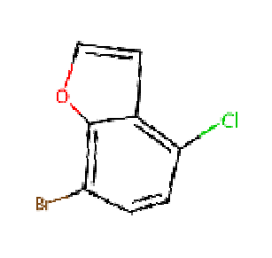 Clc1ccc(Br)c2occc12